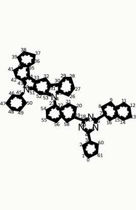 c1ccc(-c2nc(-c3ccc4ccccc4c3)nc(-c3ccc4c(-n5c6ccccc6c6cc7c8c9ccccc9ccc8n(-c8ccccc8)c7cc65)cccc4c3)n2)cc1